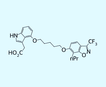 CCCc1c(OCCCCCOc2cccc3[nH]cc(CC(=O)O)c23)ccc2c(C(F)(F)F)noc12